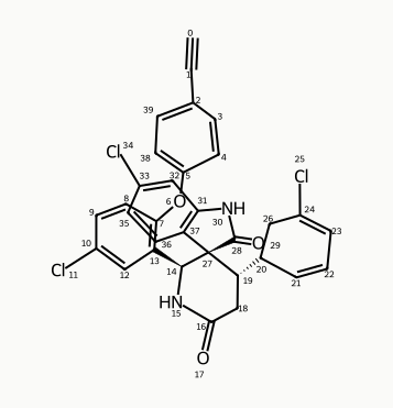 C#Cc1ccc(Oc2ccc(Cl)cc2[C@@H]2NC(=O)C[C@@H](C3C=CC=C(Cl)C3)[C@]23C(=O)Nc2cc(Cl)ccc23)cc1